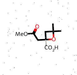 COC(=O)C[C@@]1(C(=O)O)CC(C)(C)O1